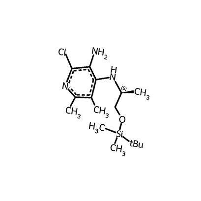 Cc1nc(Cl)c(N)c(N[C@@H](C)CO[Si](C)(C)C(C)(C)C)c1C